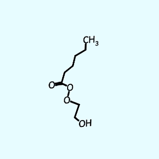 CCCCCC(=O)OOCCO